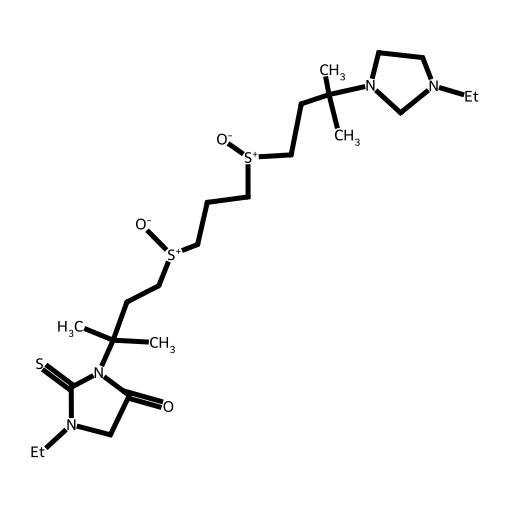 CCN1CCN(C(C)(C)CC[S+]([O-])CCC[S+]([O-])CCC(C)(C)N2C(=O)CN(CC)C2=S)C1